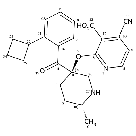 C[C@@H]1CC[C@](Oc2nccc(C#N)c2C(=O)O)(C(=O)c2ccccc2C2CCC2)CN1